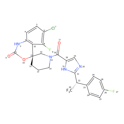 O=C1Nc2ccc(Cl)c(F)c2[C@@]2(CCCN(C(=O)c3cnc([C@H](c4ccc(F)cc4)C(F)(F)F)[nH]3)C2)O1